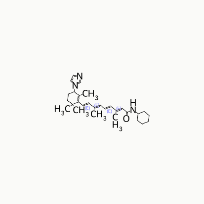 CC1=C(/C=C/C(C)=C/C=C/C(C)=C/C(=O)NC2CCCCC2)C(C)(C)CCC1n1ccnc1